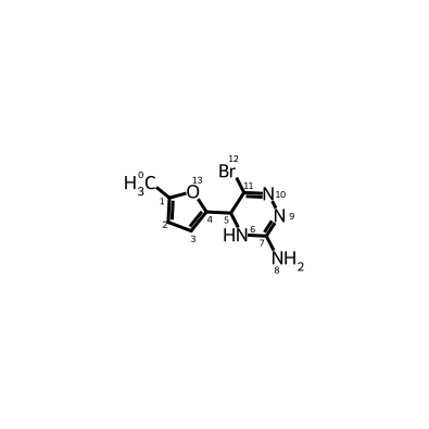 Cc1ccc(C2NC(N)=NN=C2Br)o1